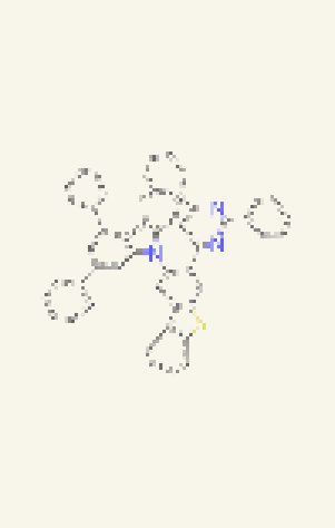 c1ccc(-c2cc(-c3ccccc3)c3c4ccccc4n(-c4cc5c(cc4-c4cc(-c6ccccc6)nc(-c6ccccc6)n4)sc4ccccc45)c3c2)cc1